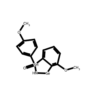 COc1ccc([SH]2(=O)N[Se]c3c(OC)cccc32)cc1